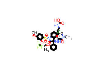 COc1ccc(S(=O)(=O)N2C(=O)C(N[C@@H](CCCCNC(=O)O)C(=O)N(C)C)(c3ccccc3OC)c3cc(Cl)ccc32)c(OC(F)(F)F)c1